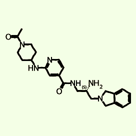 CC(=O)N1CCC(Nc2cc(C(=O)NC[C@H](N)CN3Cc4ccccc4C3)ccn2)CC1